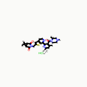 Cc1cc(C(F)(F)F)nc(-c2nccc3cc(CN4C(=O)C5C(C4=O)C5(C)C)sc23)c1C(=O)N1CCN(C)CC1C.Cl